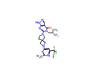 Cc1nc(N2CC3(CCN(c4nc5[nH]ncc5c(=O)n4CC(C)C)C3)C2)cc(C(F)(F)F)n1